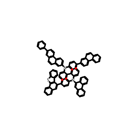 c1ccc(-c2ccc3c(ccc4cc(N(c5ccc(-c6ccc7c(ccc8ccccc87)c6)cc5)c5ccccc5-c5ccccc5N(c5ccc(-c6cc7ccccc7c7sc8ccccc8c67)cc5)c5cc6ccccc6c6ccccc56)ccc43)c2)cc1